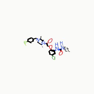 CCNC(=O)Nc1cc(Cl)ccc1OCC(=O)N1C[C@H](C)N(Cc2ccc(F)cc2)C[C@H]1C